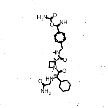 N=C(OC(N)=O)c1ccc(CNC(=O)[C@@H]2CCN2C(=O)[C@H](NCC(N)=O)C2CCCCC2)cc1